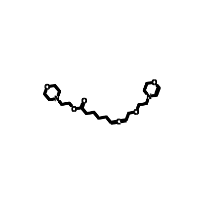 O=C(CCCCC=C=CCOCCN1C=COCC1)OCCN1CCOCC1